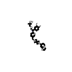 CC(C)(O)CO/N=C(\c1ccc(F)c(F)c1)c1ccc(CN2CC3(C2)CN(c2ccn4ccnc4c2)C3)cn1